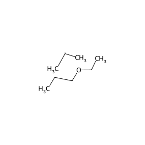 CCCOCC.C[CH]C